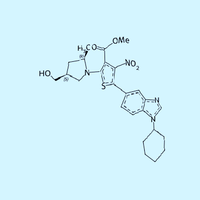 COC(=O)c1c(N2C[C@@H](CO)C[C@H]2C)sc(-c2ccc3c(c2)ncn3C2CCCCC2)c1[N+](=O)[O-]